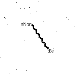 CCCCCCCCCCCCCCCCCCCCC(C)(C)C